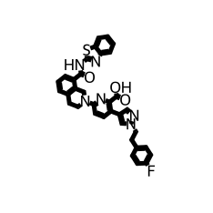 O=C(Nc1nc2ccccc2s1)c1cccc2c1CN(c1ccc(-c3cnn(CCc4ccc(F)cc4)c3)c(C(=O)O)n1)CC2